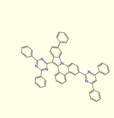 c1ccc(-c2ccc3c(-c4nc(-c5ccccc5)nc(-c5ccccc5)n4)c4c5ccccc5c5cc(-c6nc(-c7ccccc7)cc(-c7ccccc7)n6)ccc5n4c3c2)cc1